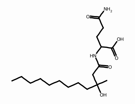 CCCCCCCCCC(C)(O)CC(=O)NC(CCC(N)=O)C(=O)O